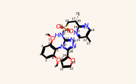 COc1cccc(OC)c1-n1c(NS(=O)(=O)C[C@H](C)c2ncc(C)cn2)nnc1-c1ccco1